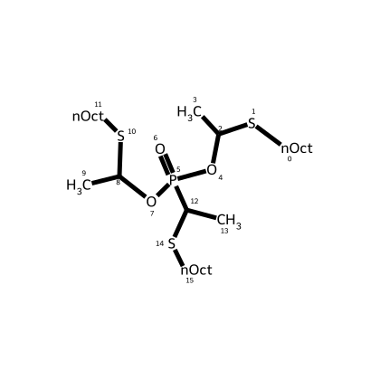 CCCCCCCCSC(C)OP(=O)(OC(C)SCCCCCCCC)C(C)SCCCCCCCC